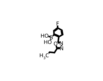 CCCc1nnc(-c2ccc(F)cc2B(O)O)o1